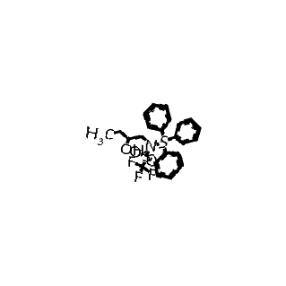 CCC(O)CN(S(c1ccccc1)(c1ccccc1)c1ccccc1)S(=O)(=O)C(F)(F)F